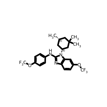 C[C@H]1C[C@@H](n2c(Nc3ccc(OC(F)(F)F)cc3)nc3ccc(OC(F)(F)F)cc32)CC(C)(C)C1